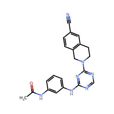 CC(=O)Nc1cccc(Nc2ncnc(N3CCc4cc(C#N)ccc4C3)n2)c1